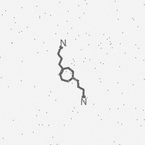 N#CCCCC1=CCCC(CCCC#N)CC1